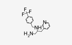 NCC(Cc1cccnc1)NCc1ccc(C(F)(F)F)cc1